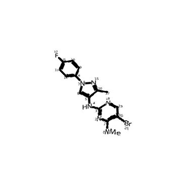 CNc1nc(Nc2cn(-c3ccc(F)cc3)nc2C)ncc1Br